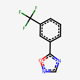 FC(F)(F)c1cccc(-c2n[c]no2)c1